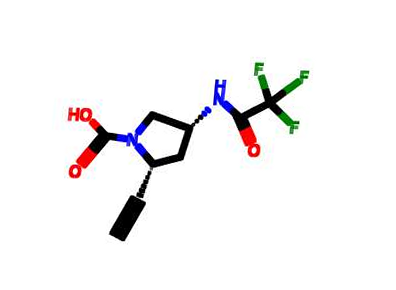 C#C[C@H]1C[C@@H](NC(=O)C(F)(F)F)CN1C(=O)O